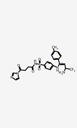 Cc1ccc(/C(=C/C(N)C(F)(F)F)Nc2ccc(S(=O)(=O)NC(=O)CCC(=O)n3ccnc3)cc2)cc1